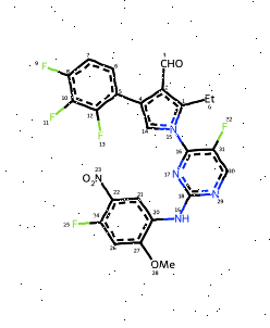 CCc1c(C=O)c(-c2ccc(F)c(F)c2F)cn1-c1nc(Nc2cc([N+](=O)[O-])c(F)cc2OC)ncc1F